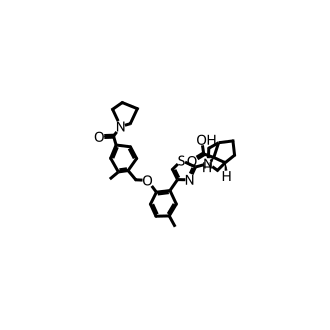 Cc1ccc(OCc2ccc(C(=O)N3CCCC3)cc2C)c(-c2csc(N3CC4CC[C@H](C3)[C@@H]4C(=O)O)n2)c1